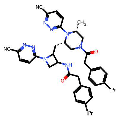 CC(C)c1ccc(CC(=O)NC2CN(c3ccc(C#N)nn3)C2C[C@H]2CN(C(=O)Cc3ccc(C(C)C)cc3)C[C@@H](C)N2c2ccc(C#N)nn2)cc1